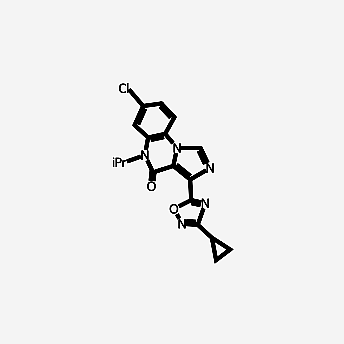 CC(C)n1c(=O)c2c(-c3nc(C4CC4)no3)ncn2c2ccc(Cl)cc21